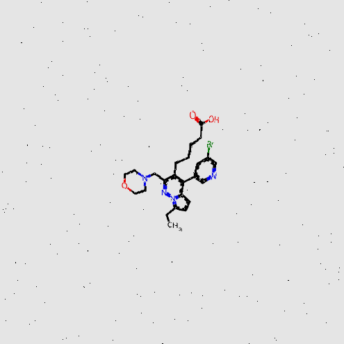 CCc1ccc2c(-c3cncc(Br)c3)c(CCCCC(=O)O)c(CN3CCOCC3)nn12